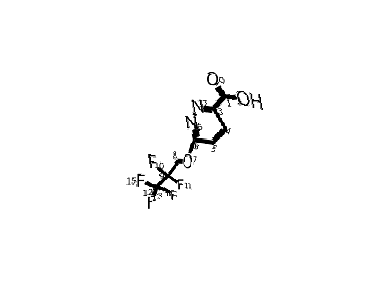 O=C(O)c1ccc(OCC(F)(F)C(F)(F)F)nn1